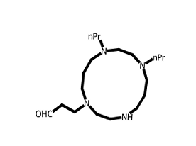 CCCN1CCCNCCN(CCC=O)CCCN(CCC)CC1